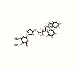 CC(C)(C)c1cc(-n2ccc(OCC(C)(CO[Si](c3ccccc3)(c3ccccc3)C(C)(C)C)C(F)(F)F)n2)nc(Cl)c1C(=O)O